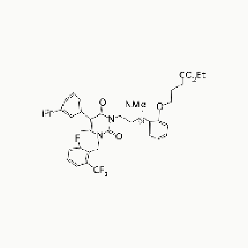 CCOC(=O)CCCOc1ccccc1[C@H](CCn1c(=O)c(-c2cccc(C(C)C)c2)c(C)n(Cc2c(F)cccc2C(F)(F)F)c1=O)NC